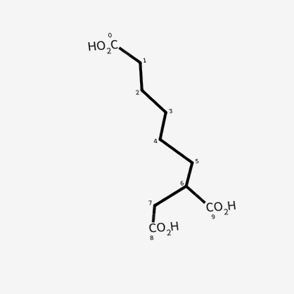 O=C(O)CCCCCC(CC(=O)O)C(=O)O